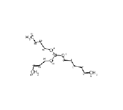 CCCCCCOB(OCCCC)OCCCC